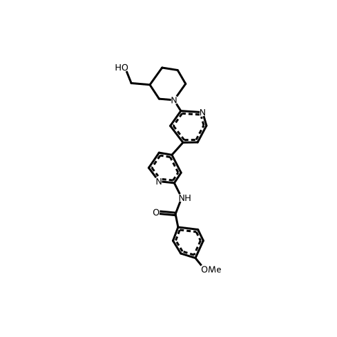 COc1ccc(C(=O)Nc2cc(-c3ccnc(N4CCCC(CO)C4)c3)ccn2)cc1